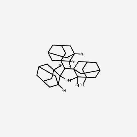 [3H]C12CC3CC(C1)CC([C](C14CC5CC(CC([3H])(C5)C1([3H])[3H])C4)C1([3H])C4([3H])CC5CC(C4)CC1([3H])C5)(C3)C2([3H])[3H]